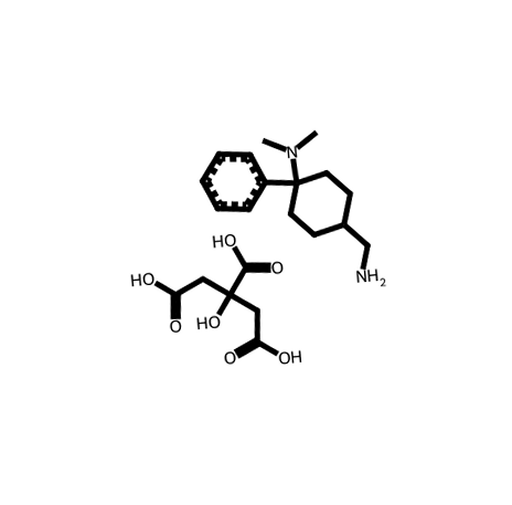 CN(C)C1(c2ccccc2)CCC(CN)CC1.O=C(O)CC(O)(CC(=O)O)C(=O)O